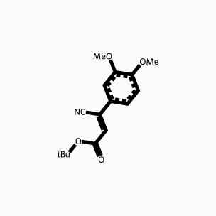 COc1ccc(C(C#N)=CC(=O)OC(C)(C)C)cc1OC